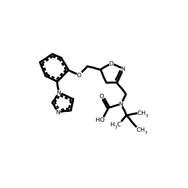 CC(C)(C)N(CC1=NOC(COc2ccccc2-n2ccnc2)C1)C(=O)O